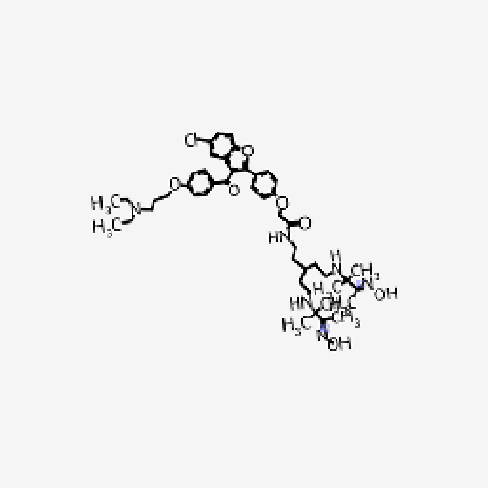 CCN(CC)CCCOc1ccc(C(=O)c2c(-c3ccc(OCC(=O)NCCC(CCNC(C)(C)/C(C)=N/O)CCNC(C)(C)/C(C)=N/O)cc3)oc3ccc(Cl)cc23)cc1